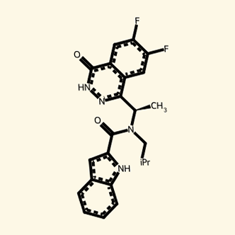 CC(C)CN(C(=O)c1cc2ccccc2[nH]1)[C@H](C)c1n[nH]c(=O)c2cc(F)c(F)cc12